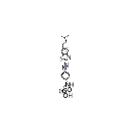 CC(C)CCc1cc2sc(/N=N/c3ccc(NCS(=O)(=O)O)cc3)nc2s1